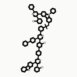 CC(C)(Cc1ccc2c(c1)c1cc(-c3cc(-c4ccccc4)ncc3-c3ccccc3Cl)ccc1n2-c1ccccc1)c1cccc(-c2cc(-c3ccc(-c4ccccc4)cc3)c(-c3ccc(-c4ccc(-c5cc(-c6ccc7c(c6)oc6ccccc67)c(-c6ccccc6Cl)cn5)cc4)cc3Cl)cn2)c1